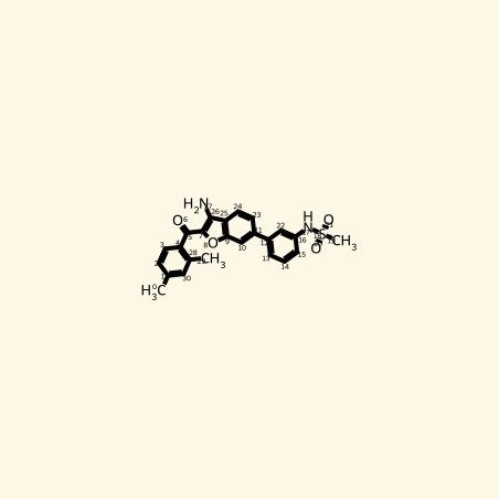 Cc1ccc(C(=O)c2oc3cc(-c4cccc(NS(C)(=O)=O)c4)ccc3c2N)c(C)c1